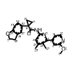 COc1cc(-c2nc(NC(=O)C3(c4ccc5c(c4)CCO5)CC3)cc(C)c2C)ccn1